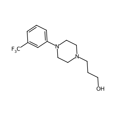 OCCCN1CCN(c2cccc(C(F)(F)F)c2)CC1